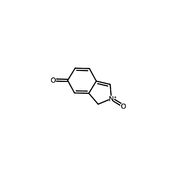 O=C1C=CC2=C[N+](=O)CC2=C1